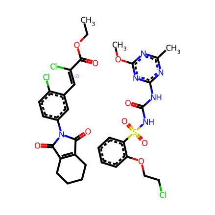 CCOC(=O)/C(Cl)=C/c1cc(N2C(=O)C3=C(CCCC3)C2=O)ccc1Cl.COc1nc(C)nc(NC(=O)NS(=O)(=O)c2ccccc2OCCCl)n1